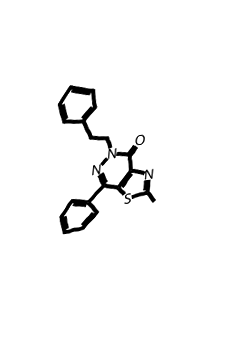 Cc1nc2c(=O)n(CCc3ccccc3)nc(-c3ccccc3)c2s1